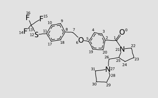 O=C(c1ccc(OCc2ccc(SC(F)(F)F)cc2)cc1)N1CCCC1CN1CCCC1